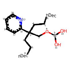 CCCCCCCCCCCCC(CCCCCCCCCCCC)(COB(O)O)c1ccccn1